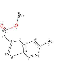 CC(=O)c1ccc2c(c1)CC(CC(=O)OC(C)(C)C)=CC2